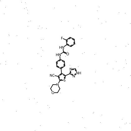 N#Cc1c(N2CCOCC2)sc(-c2nc[nH]n2)c1-c1ccc(NC(=O)Nc2ccccc2F)cc1